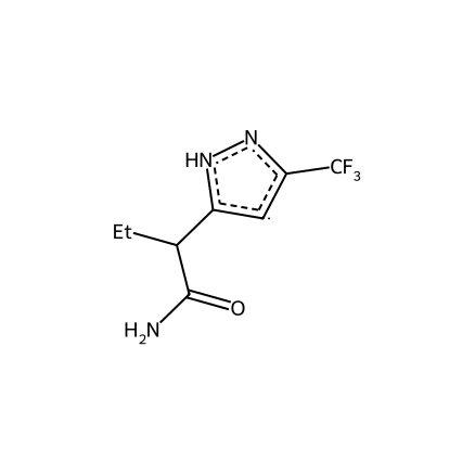 CCC(C(N)=O)c1[c]c(C(F)(F)F)n[nH]1